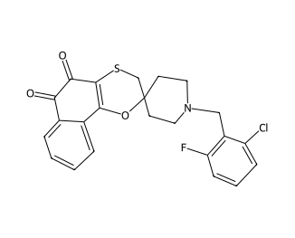 O=C1C(=O)c2ccccc2C2=C1SCC1(CCN(Cc3c(F)cccc3Cl)CC1)O2